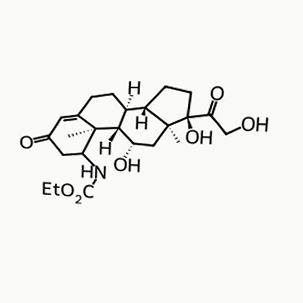 CCOC(=O)NC1CC(=O)C=C2CC[C@@H]3[C@H]([C@@H](O)C[C@@]4(C)[C@H]3CC[C@]4(O)C(=O)CO)[C@]21C